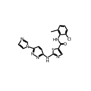 Cc1cccc(Cl)c1NC(=O)c1cnc(Nc2ccc(-n3ccnc3)nn2)s1